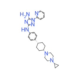 Nc1nc(Nc2ccc([C@H]3CC[C@@H](N4CCN(C5CC5)CC4)CC3)cc2)nn1-c1ccccn1